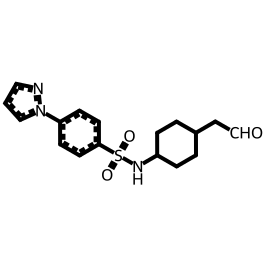 O=CCC1CCC(NS(=O)(=O)c2ccc(-n3cccn3)cc2)CC1